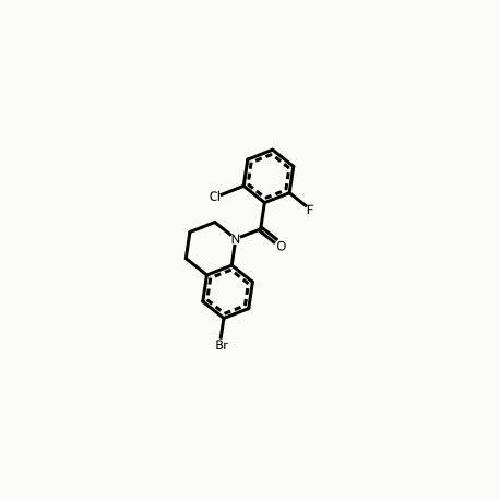 O=C(c1c(F)cccc1Cl)N1CCCc2cc(Br)ccc21